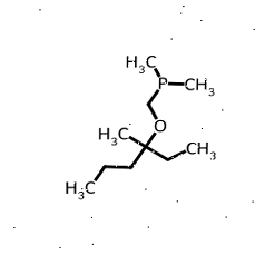 CCCC(C)(CC)OCP(C)C